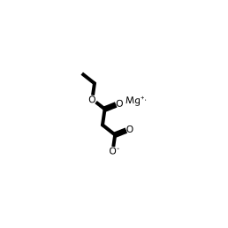 CCOC(=O)CC(=O)[O-].[Mg+]